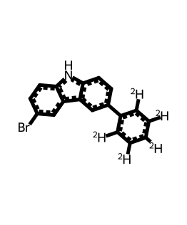 [2H]c1c([2H])c([2H])c(-c2ccc3[nH]c4ccc(Br)cc4c3c2)c([2H])c1[2H]